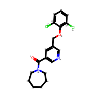 O=C(c1cncc(COc2c(Cl)cccc2Cl)c1)N1CCCCCC1